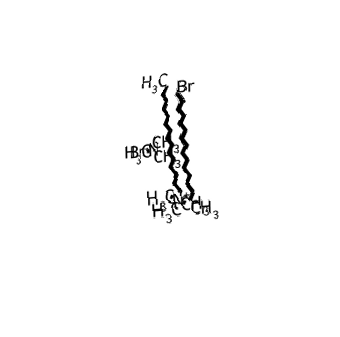 CCCCCCCCCCCCCCCCBr.CCCCCCCCCCCCCCCC[N+](C)(C)C.CN(C)C.[Br-]